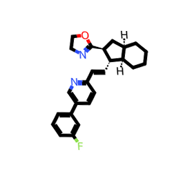 Fc1cccc(-c2ccc(/C=C/[C@H]3[C@@H]4CCCC[C@@H]4C[C@@H]3C3=NCCO3)nc2)c1